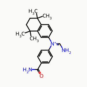 CC1(C)CCC(C)(C)c2cc([N+](=CN)c3ccc(C(N)=O)cc3)ccc21